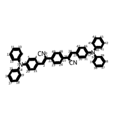 [C-]#[N+]/C(=C\c1ccc(N(c2ccccc2)c2ccccc2)cc1)c1ccc(/C(C#N)=C/c2ccc(N(c3ccccc3)c3ccccc3)cc2)cc1